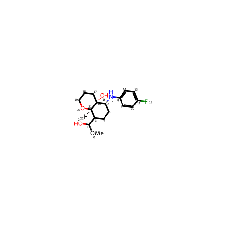 COC(O)C1CC[C@@H](Nc2ccc(F)cc2)[C@]2(O)CCCO[C@H]12